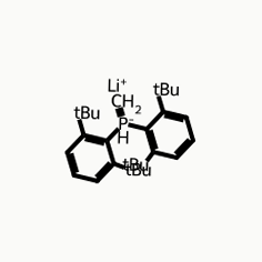 C=[PH-](c1c(C(C)(C)C)cccc1C(C)(C)C)c1c(C(C)(C)C)cccc1C(C)(C)C.[Li+]